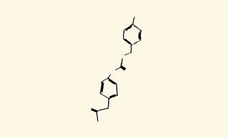 O=C(O)Cc1ccc(NC(=O)NCc2ccc(Cl)cc2)cc1